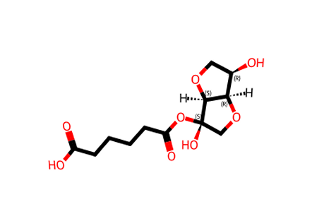 O=C(O)CCCCC(=O)O[C@@]1(O)CO[C@@H]2[C@H](O)CO[C@@H]21